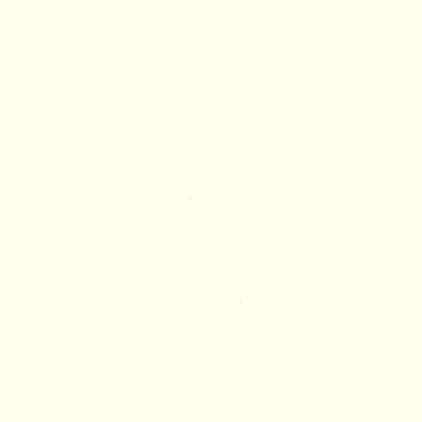 CC1(C)c2cc(-c3ccc4c(c3)C(C)(C)c3ccc5c(ccc6oc7ccccc7c65)c3-4)ccc2-c2ccc(-c3c4ccccc4c(-c4ccccc4)c4ccccc34)cc21